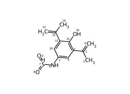 C=C(C)c1cc(N[SH](=O)=O)cc(C(=C)C)c1O